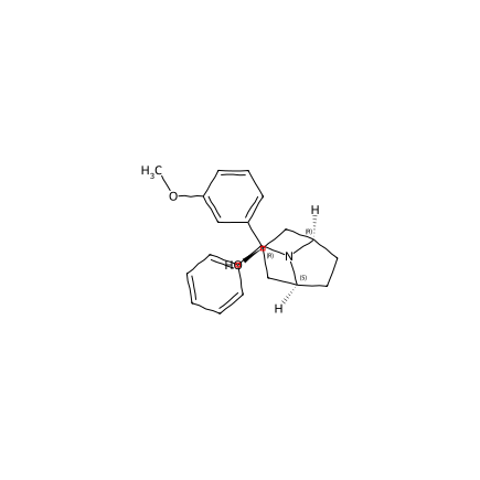 COc1cccc([C@]2(O)C[C@H]3CC[C@@H](C2)N3Cc2ccccc2)c1